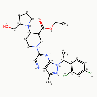 CCOC(=O)C1CN(c2cnc3c(C)nn([C@H](C)c4ccc(Cl)cc4Cl)c3n2)CCC1N1CCCC1CO